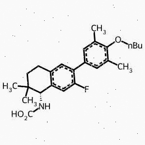 CCCCOc1c(C)cc(-c2cc3c(cc2F)[C@H](NC(=O)O)C(C)(C)CC3)cc1C